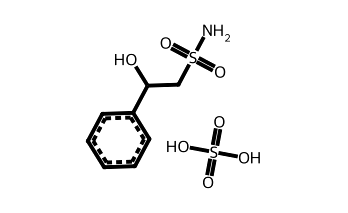 NS(=O)(=O)CC(O)c1ccccc1.O=S(=O)(O)O